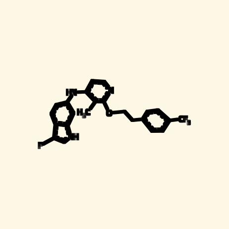 Cc1c(Nc2ccc3c(F)c[nH]c3c2)ccnc1OCCc1ccc(C(F)(F)F)cc1